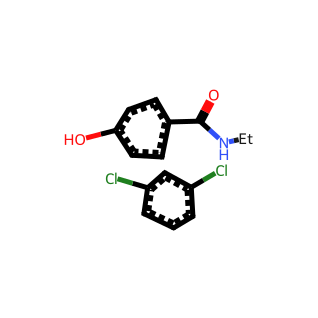 CCNC(=O)c1ccc(O)cc1.Clc1cccc(Cl)c1